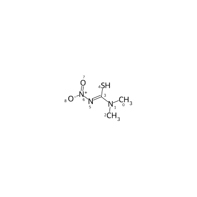 CN(C)/C(S)=N/[N+](=O)[O-]